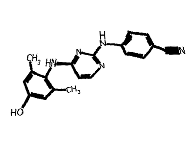 Cc1cc(O)cc(C)c1Nc1ccnc(Nc2ccc(C#N)cc2)n1